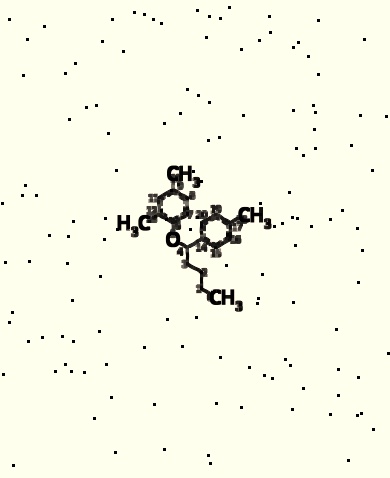 CCCCC(Oc1ccc(C)cc1C)c1ccc(C)cc1